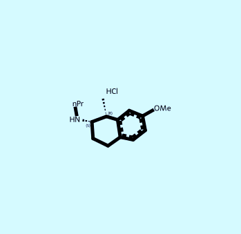 CCCN[C@H]1CCc2ccc(OC)cc2[C@H]1C.Cl